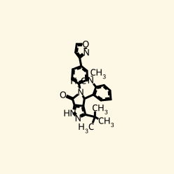 CN(C)c1ccccc1C1c2c(C(C)(C)C)n[nH]c2C(=O)N1c1ccc(-c2ccon2)cc1